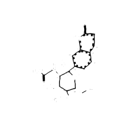 CC(=O)N[C@@H]1[C@@H](O)[C@](C)(O)[C@@H](CO)O[C@]1(O)c1ccc2ccc(=O)oc2c1